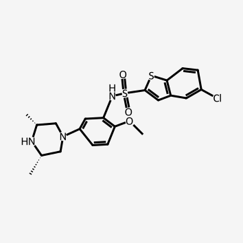 COc1ccc(N2C[C@@H](C)N[C@@H](C)C2)cc1NS(=O)(=O)c1cc2cc(Cl)ccc2s1